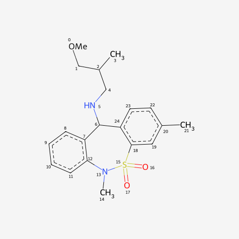 COCC(C)CNC1c2ccccc2N(C)S(=O)(=O)c2cc(C)ccc21